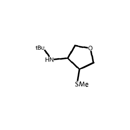 CSC1COCC1NC(C)(C)C